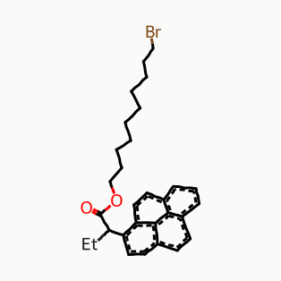 CCC(C(=O)OCCCCCCCCCCBr)c1ccc2ccc3cccc4ccc1c2c34